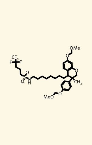 COCOc1ccc(C2(C)COc3cc(OCOC)ccc3C2CCCCCCCCNS(=O)(=O)CCCC(F)(F)C(F)(F)F)cc1